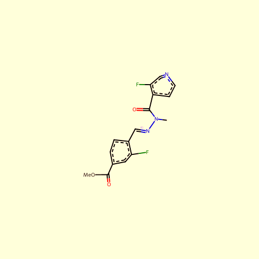 COC(=O)c1ccc(/C=N/N(C)C(=O)c2ccncc2F)c(F)c1